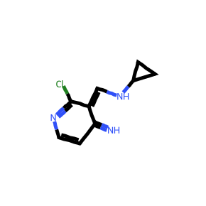 N=C1C=CN=C(Cl)/C1=C/NC1CC1